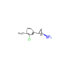 COc1ccc(C2C[C@H]2N)cc1Cl